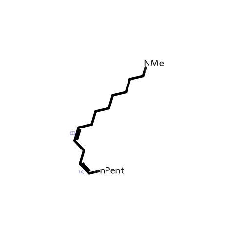 CCCCC/C=C\C/C=C\CCCCCCCNC